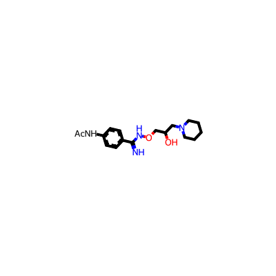 CC(=O)Nc1ccc(C(=N)NOCC(O)CN2CCCCC2)cc1